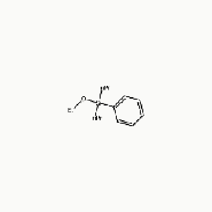 CCC[Si](CCC)(OCC)c1ccccc1